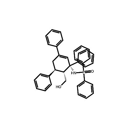 O=P(N[C@@]1(c2ccccc2)C=C(c2ccccc2)C[C@H](c2ccccc2)[C@H]1CO)(c1ccccc1)c1ccccc1